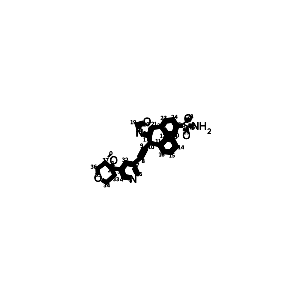 COC1(c2cncc(C#CC(c3ccccc3)c3ncoc3-c3ccc(S(N)(=O)=O)cc3)c2)CCOCC1